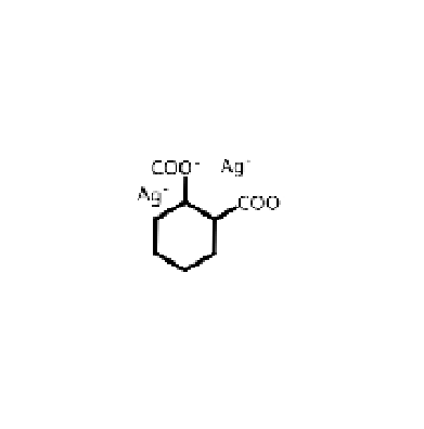 O=C([O-])C1CCCCC1C(=O)[O-].[Ag+].[Ag+]